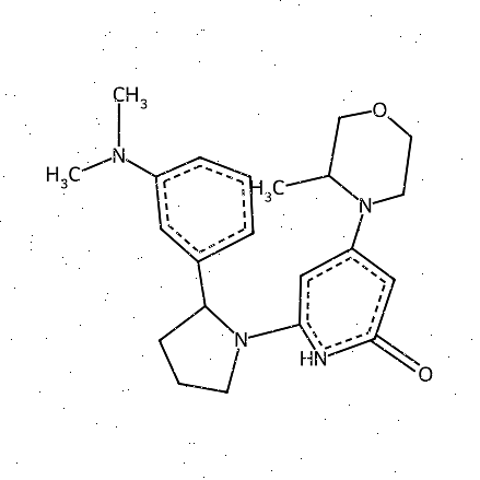 CC1COCCN1c1cc(N2CCCC2c2cccc(N(C)C)c2)[nH]c(=O)c1